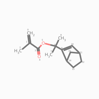 C=C(C)C(=O)OC(C)(C)C1=CC2CCC1C2